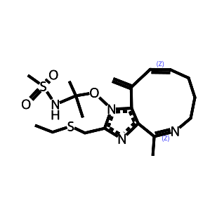 C=C1/C=C\CCC/N=C(/C)c2nc(CSCC)n(OC(C)(C)NS(C)(=O)=O)c21